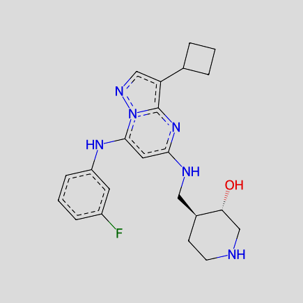 O[C@@H]1CNCC[C@H]1CNc1cc(Nc2cccc(F)c2)n2ncc(C3CCC3)c2n1